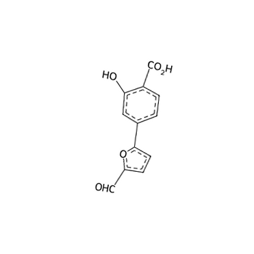 O=Cc1ccc(-c2ccc(C(=O)O)c(O)c2)o1